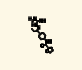 CC/C(=N\NC(=N)N)c1ccc(NC(=O)c2ccco2)cc1